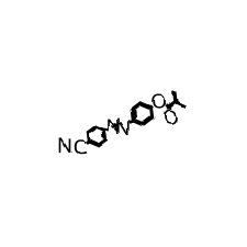 C=C(C)C(=O)Oc1ccc(/N=N/c2ccc(C#N)cc2)cc1